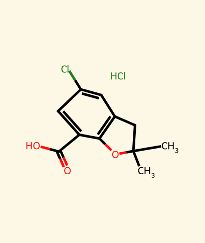 CC1(C)Cc2cc(Cl)cc(C(=O)O)c2O1.Cl